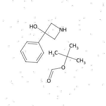 CC(C)(C)OC=O.OC1(c2ccccc2)CNC1